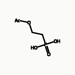 CC(=O)OCCP(=O)(O)O